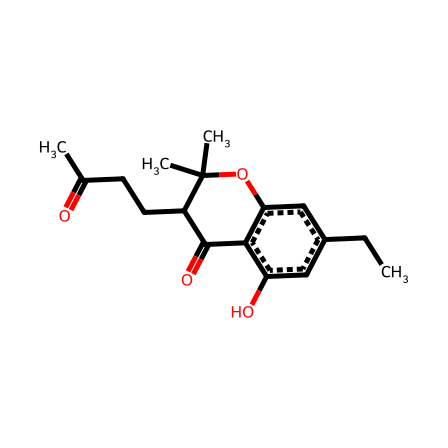 CCc1cc(O)c2c(c1)OC(C)(C)C(CCC(C)=O)C2=O